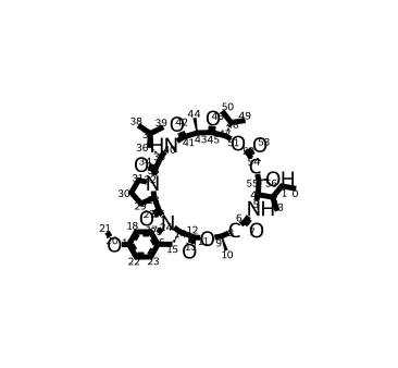 CCC(C)C1NC(=O)C[C@@H](C)OC(=O)[C@H](Cc2ccc(OC)cc2)N(C)C(=O)C2CCCN2C(=O)[C@H](CC(C)C)NC(=O)[C@@H](C)C(=O)[C@H](C(C)C)OC(=O)C[C@@H]1O